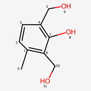 Cc1ccc(CO)c(O)c1CO